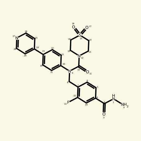 NNC(=O)c1ccc(CN(C(=O)N2CCS(=O)(=O)CC2)c2ccc(-c3ccncc3)cc2)c(F)c1